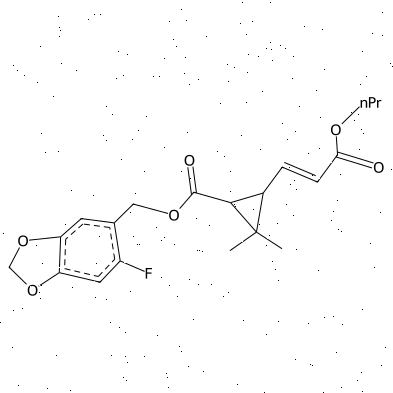 CCCOC(=O)C=CC1C(C(=O)OCc2cc3c(cc2F)OCO3)C1(C)C